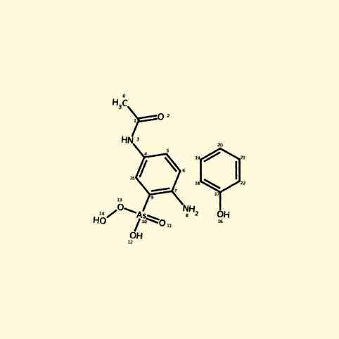 CC(=O)Nc1ccc(N)c([As](=O)(O)OO)c1.Oc1ccccc1